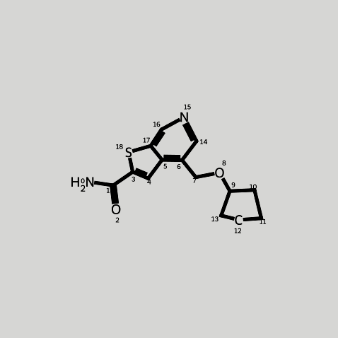 NC(=O)c1cc2c(COC3CCCC3)cncc2s1